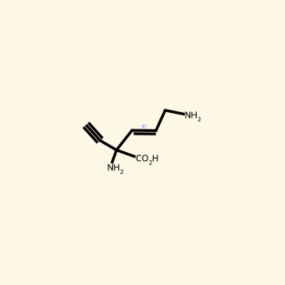 C#CC(N)(/C=C/CN)C(=O)O